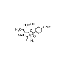 CC=CCC(C)(C(=O)OC)S(=O)(=O)c1ccc(OC)cc1.NO